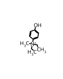 CC[N+](C)(CC)c1ccc(O)cc1